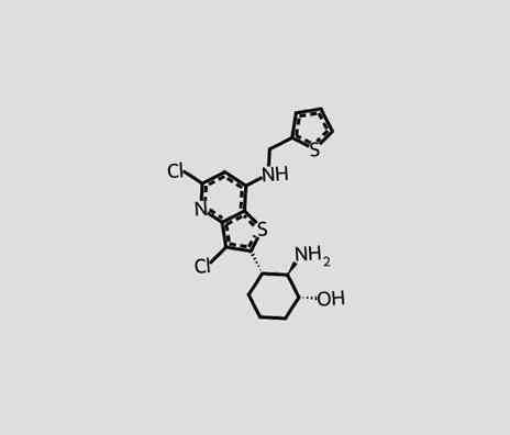 N[C@H]1[C@H](O)CCC[C@@H]1c1sc2c(NCc3cccs3)cc(Cl)nc2c1Cl